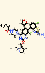 C=CC(=O)N1CCN(c2nc(OCC3CCCN3C)nc3c(F)c(-c4ccc(F)c5sc(N)nc45)c(-c4ccoc4)cc23)CC1